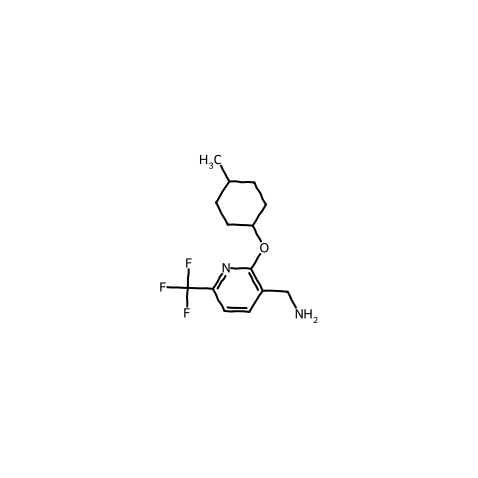 CC1CCC(Oc2nc(C(F)(F)F)ccc2CN)CC1